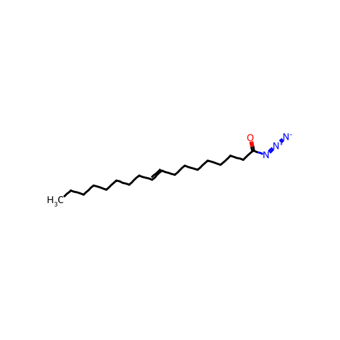 CCCCCCCCC=CCCCCCCCC(=O)N=[N+]=[N-]